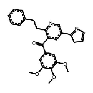 COc1cc(C(=O)c2cc(C3=NC=CC3)cnc2CCc2ccccc2)cc(OC)c1OC